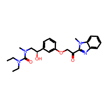 CCN(CC)C(=O)N(C)C[C@H](O)c1cccc(OCC(=O)c2nc3ccccc3n2C)c1